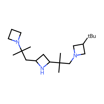 CC(C)(C)C1CN(CC(C)(C)C2CC(CC(C)(C)N3CCC3)N2)C1